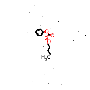 CCCCCOOC(=O)Oc1ccccc1